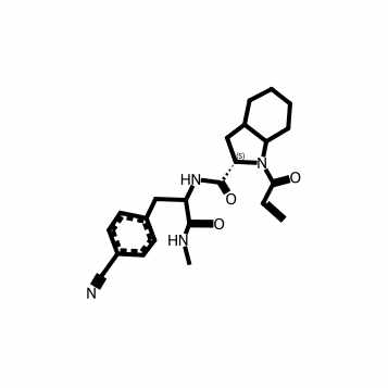 C=CC(=O)N1C2CCCCC2C[C@H]1C(=O)NC(Cc1ccc(C#N)cc1)C(=O)NC